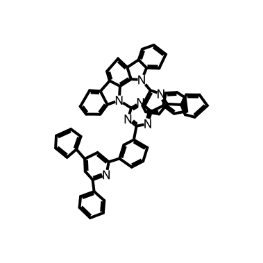 c1ccc(-c2cc(-c3ccccc3)nc(-c3cccc(-c4nc(-c5ccccc5)nc(-n5c6ccccc6c6ccc7c8ccccc8n(-c8cccc(-c9ccccc9)n8)c7c65)n4)c3)c2)cc1